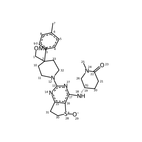 COCC1(c2ccc(C)cc2)CCN(c2nc3c(c(N[C@H]4CCC(=O)N(C)C4)n2)[S+]([O-])CC3)CC1